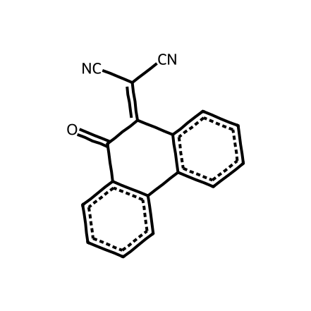 N#CC(C#N)=C1C(=O)c2ccccc2-c2ccccc21